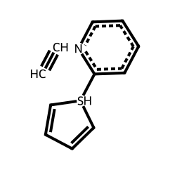 C#C.C1=C[SH](c2ccccn2)C=C1